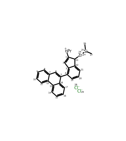 CCCC1=Cc2c(-c3cc4ccccc4c4ccccc34)cccc2[CH]1[Zr+2][Si](C)C.[Cl-].[Cl-]